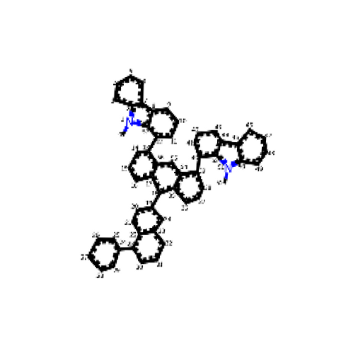 Cn1c2ccccc2c2cccc(-c3cccc4c(-c5ccc6c(-c7ccccc7)cccc6c5)c5cccc(-c6cccc7c8ccccc8n(C)c67)c5cc34)c21